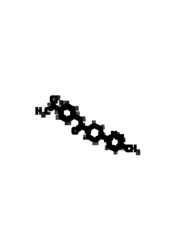 Cc1ccc(N2CCN(C(=O)Cc3ccc(C(C)C(F)(F)F)cc3)CC2)nn1